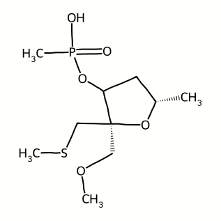 COC[C@@]1(CSC)O[C@@H](C)CC1OP(C)(=O)O